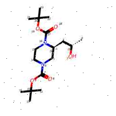 C[C@H](O)C[C@H]1CN(C(=O)OC(C)(C)C)CCN1C(=O)OC(C)(C)C